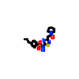 CCCc1ccc(S(=O)(=O)Nc2nc(CC(=O)N3CCCCC3)ns2)cc1